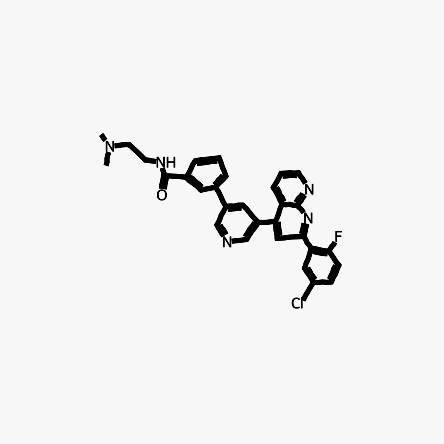 CN(C)CCNC(=O)c1cccc(-c2cncc(-c3cc(-c4cc(Cl)ccc4F)nc4ncccc34)c2)c1